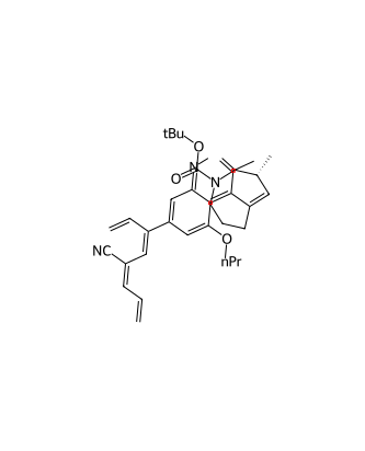 C=C/C=C(C#N)\C=C(/C=C)C1=CC(=N/C)/C(=C(C(=C)C)/C2=C\[C@@H](C)CN(C(=O)OC(C)(C)C)CCC2)C(OCCC)=C1